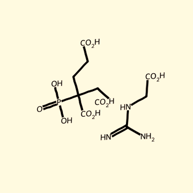 N=C(N)NCC(=O)O.O=C(O)CCC(CC(=O)O)(C(=O)O)P(=O)(O)O